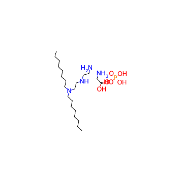 CCCCCCCCN(CCCCCCCC)CCNCCN.NCC(=O)O.O=P(O)(O)O